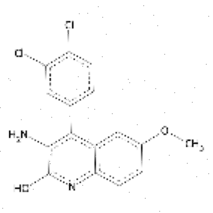 COc1ccc2nc(O)c(N)c(-c3ccc(Cl)c(Cl)c3)c2c1